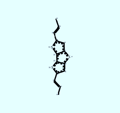 C/C=C/c1cc2sc3cc(/C=C/C)sc3c2s1